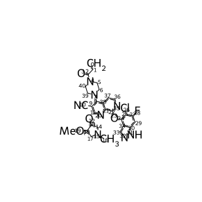 C=CC(=O)N1CCN(c2c(C#N)c(O[C@@H]3CN(C)C[C@H]3OC)nc3c(Oc4c(Cl)c(F)cc5[nH]ncc45)nccc23)CC1